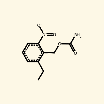 BC(=O)OCc1c(CC)cccc1[N+](=O)[O-]